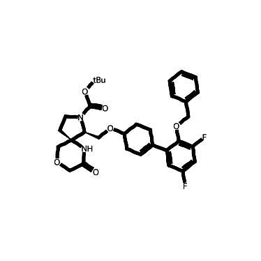 CC(C)(C)OC(=O)N1CC[C@@]2(COCC(=O)N2)[C@@H]1COC1CC=C(c2cc(F)cc(F)c2OCc2ccccc2)CC1